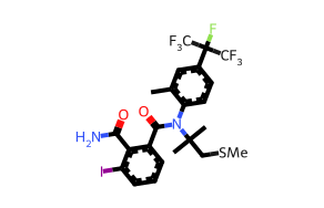 CSCC(C)(C)N(C(=O)c1cccc(I)c1C(N)=O)c1ccc(C(F)(C(F)(F)F)C(F)(F)F)cc1C